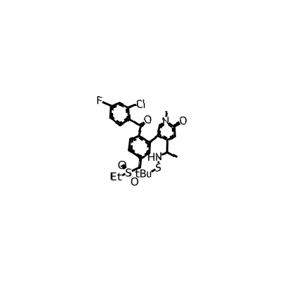 CCS(=O)(=O)Cc1ccc(C(=O)c2ccc(F)cc2Cl)c(-c2cn(C)c(=O)cc2C(C)NSC(C)(C)C)c1